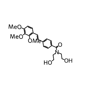 COc1ccc(C=Cc2ccc(C(=O)N(CCO)CCO)cc2)c(OC)c1OC